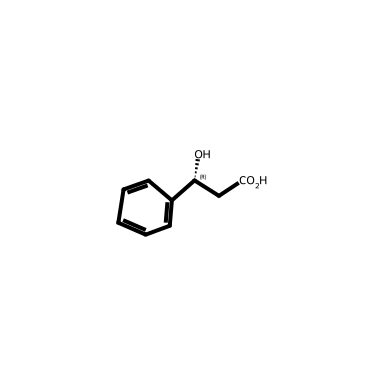 O=C(O)C[C@@H](O)c1ccccc1